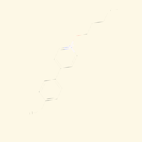 CCCCCc1ccc(-c2cc[n+](OCCCS(=O)(=O)O)cc2)cc1